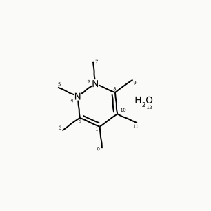 CC1=C(C)N(C)N(C)C(C)=C1C.O